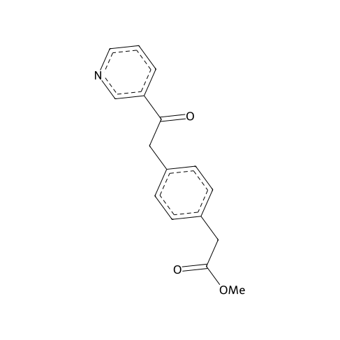 COC(=O)Cc1ccc(CC(=O)c2cccnc2)cc1